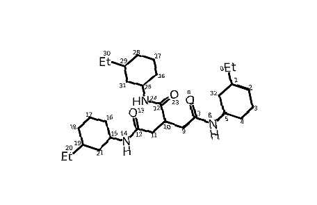 CCC1CCCC(NC(=O)CC(CC(=O)NC2CCCC(CC)C2)C(=O)NC2CCCC(CC)C2)C1